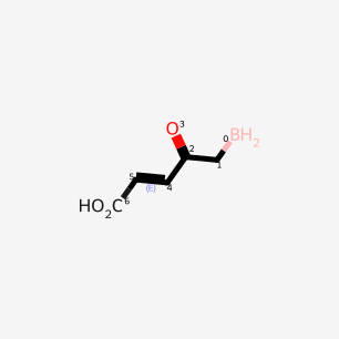 BCC(=O)/C=C/C(=O)O